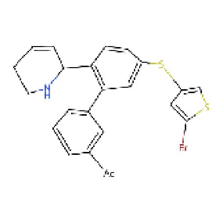 CC(=O)c1cccc(-c2cc(Sc3csc(Br)c3)ccc2C2C=CCCN2)c1